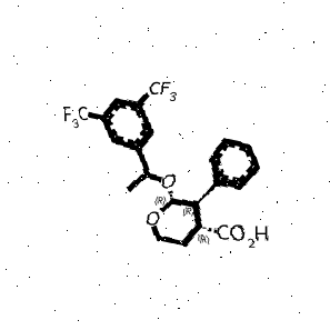 CC(O[C@H]1OCC[C@@H](C(=O)O)[C@@H]1c1ccccc1)c1cc(C(F)(F)F)cc(C(F)(F)F)c1